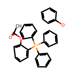 CC(=O)Oc1ccccc1[P+](c1ccccc1)(c1ccccc1)c1ccccc1.[O-]c1ccccc1